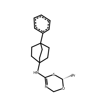 CC(C)[C@@H]1OCN=C(NC23CCC(c4ccccc4)(CC2)CC3)S1